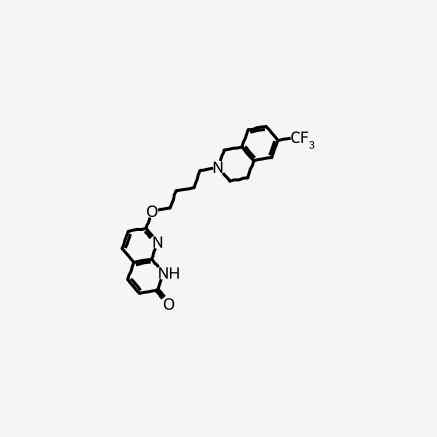 O=c1ccc2ccc(OCCCCN3CCc4cc(C(F)(F)F)ccc4C3)nc2[nH]1